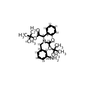 CC(C)(C)OC(=O)[C@H](c1ccccc1)N(Cc1cccc(N)c1)C(=O)OC(C)(C)C